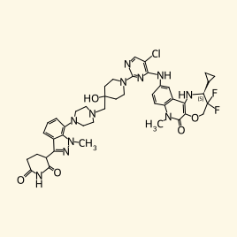 Cn1nc(C2CCC(=O)NC2=O)c2cccc(N3CCN(CC4(O)CCN(c5ncc(Cl)c(Nc6ccc7c(c6)c6c(c(=O)n7C)OCC(F)(F)[C@H](C7CC7)N6)n5)CC4)CC3)c21